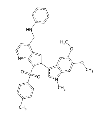 COc1cc2c(-c3cc4c(CNc5ccccc5)ccnc4n3S(=O)(=O)c3ccc(C)cc3)cn(C)c2cc1OC